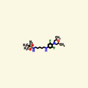 C[C@@H]1CN(c2c(F)cc(NCCCCCNS(=O)(=O)C(C)(C)C)cc2F)C[C@H](C)O1